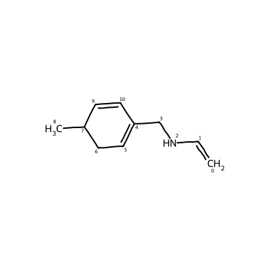 C=CNCC1=CCC(C)C=C1